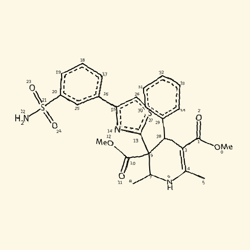 COC(=O)C1=C(C)NC(C)C(C(=O)OC)(c2nc(-c3cccc(S(N)(=O)=O)c3)cs2)C1c1ccccc1